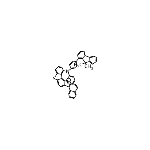 CC1(C)c2ccccc2-c2cccc(-c3ccc(N(c4ccccc4)c4cccc5sc6ccc7c(oc8ccc9ccccc9c87)c6c45)cc3)c21